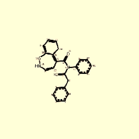 O=C(Cc1ccccc1)N(C(=O)C1=C2CC=CC=C2SNC=C1)c1ccccc1